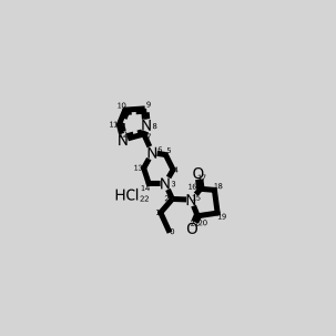 CCC(N1CCN(c2ncccn2)CC1)N1C(=O)CCC1=O.Cl